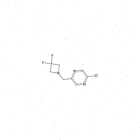 FC1(F)CN(Cc2cnc(Cl)cn2)C1